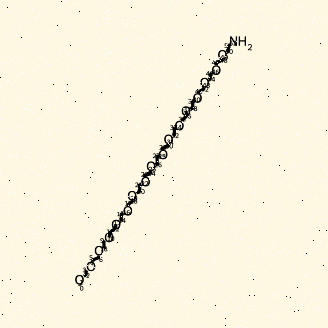 COCCOCCOCCOCCOCCOCCOCCOCCOCCOCCOCCOCCOCCOCCOCCOCCOCCN